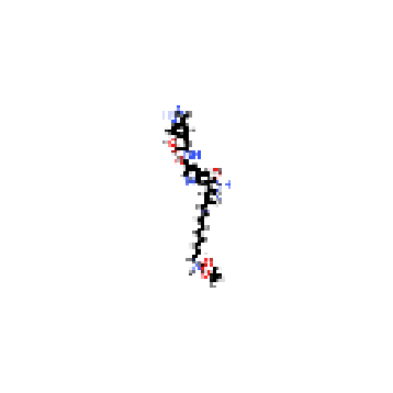 COC(=O)[C@@H](Cc1cc(C)c2[nH]ncc2c1)NC(=O)c1cnc2c(c1)C[C@@]1(C2)C(=O)Nc2ncc(/C=C/CCCCCCCN(C)C(=O)OC(C)(C)C)cc21